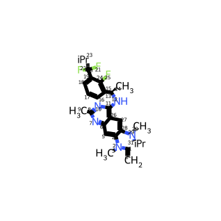 C=CN(C)c1cc2nc(C)nc(N[C@H](C)c3cccc(C(F)(F)C(C)C)c3F)c2cc1N(C)C(C)C